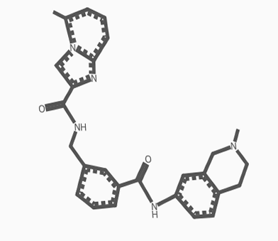 Cc1cccc2nc(C(=O)NCc3cccc(C(=O)Nc4ccc5c(c4)CN(C)CC5)c3)cn12